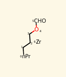 CCCCCCOC=O.[Zr]